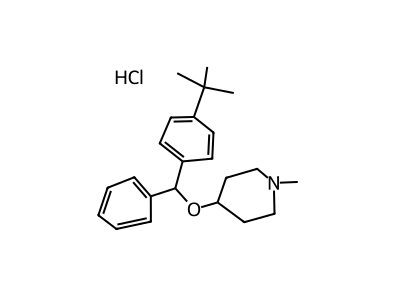 CN1CCC(OC(c2ccccc2)c2ccc(C(C)(C)C)cc2)CC1.Cl